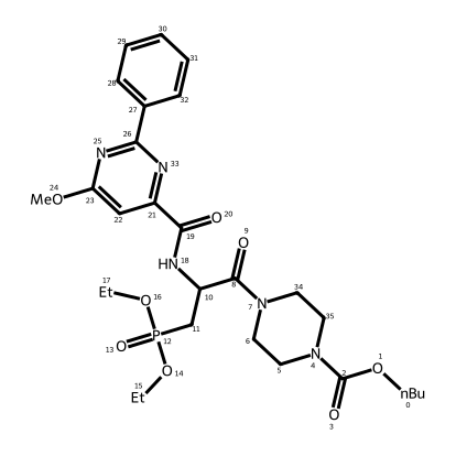 CCCCOC(=O)N1CCN(C(=O)C(CP(=O)(OCC)OCC)NC(=O)c2cc(OC)nc(-c3ccccc3)n2)CC1